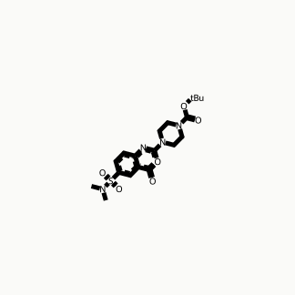 CN(C)S(=O)(=O)c1ccc2nc(N3CCN(C(=O)OC(C)(C)C)CC3)oc(=O)c2c1